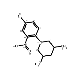 CC1CC(C)CN(c2ccc(Br)cc2[N+](=O)[O-])C1